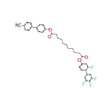 N#Cc1ccc(-c2ccc(OC(=O)CCCCCCCCCC(=O)Oc3ccc(-c4cc(F)c(F)c(F)c4)c(F)c3)cc2)cc1